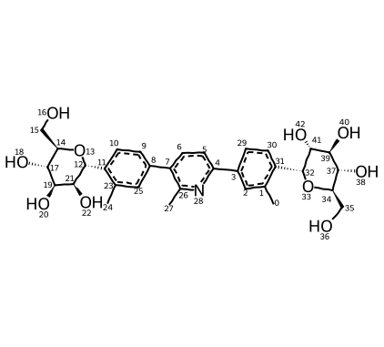 Cc1cc(-c2ccc(-c3ccc([C@H]4O[C@H](CO)[C@@H](O)[C@H](O)[C@@H]4O)c(C)c3)c(C)n2)ccc1[C@H]1O[C@H](CO)[C@@H](O)[C@H](O)[C@H]1O